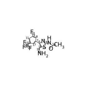 CC(=O)Nc1nc(-c2cc(F)cc(C(F)(F)F)c2)c(CN)s1